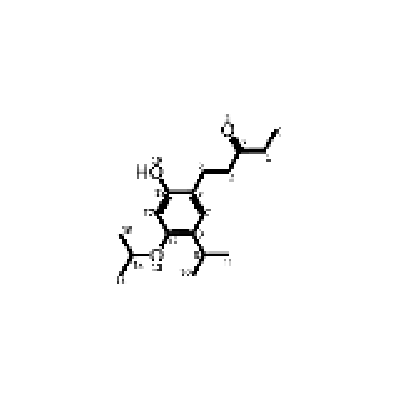 CCC(=O)CCc1cc(C(C)C)c(OC(C)C)cc1O